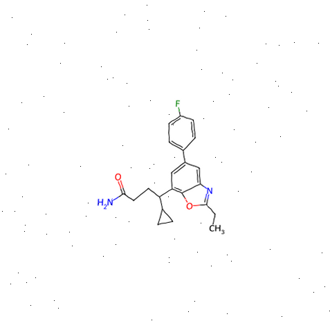 CCc1nc2cc(-c3ccc(F)cc3)cc(C(CCC(N)=O)C3CC3)c2o1